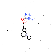 NCC(N)C(=O)OCCCc1ccc2c(c1)CCCC/C(c1ccccc1)=C\2